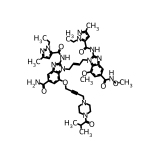 CCn1nc(C)cc1C(=O)Nc1nc2cc(C(=O)NOC)cc(OC)c2n1C/C=C/Cn1c(NC(=O)c2cc(C)nn2CC)nc2cc(C(N)=O)cc(OCC#CCN3CCN(C(=O)C(C)C)CC3)c21